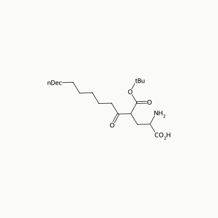 CCCCCCCCCCCCCCCC(=O)C(CC(N)C(=O)O)C(=O)OC(C)(C)C